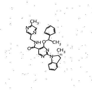 Cc1cnc(CNC(=O)c2cnc(N3c4ccccc4C[C@H]3C)nc2OC(C)c2ccccc2)cn1